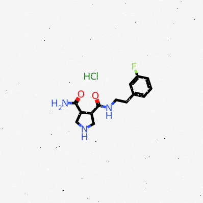 Cl.NC(=O)C1CNCC1C(=O)NCCc1cccc(F)c1